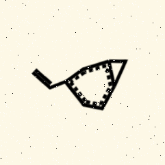 C=Cc1ccc2c(c1)C2